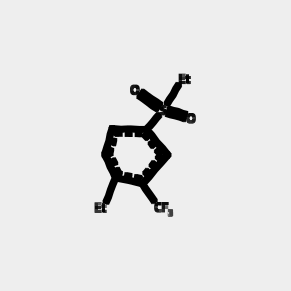 CCc1ccc(S(=O)(=O)CC)cc1C(F)(F)F